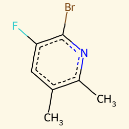 Cc1cc(F)c(Br)nc1C